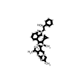 Cc1cn2cc(-c3nc(-c4cccc5nn(C[C@H](O)c6ccccc6)cc45)c(C4CC4)n3C)c(C(C)C)nc2n1